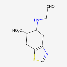 O=CCNC1Cc2ncsc2CC1C(=O)O